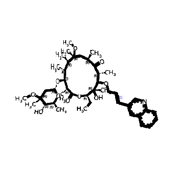 CC[C@H]1OC(=O)[C@H](C)[C@@H](O[C@H]2C[C@@](C)(OC)[C@@H](O)[C@H](C)O2)[C@H](C)[C@@H](C)[C@](C)(OC)C[C@@H](C)C(=O)[C@H](C)C(OC/C=C/c2cnc3ccccc3c2)[C@]1(C)O